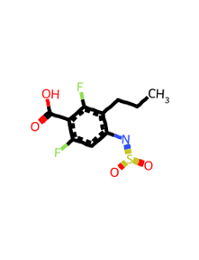 CCCc1c(N=S(=O)=O)cc(F)c(C(=O)O)c1F